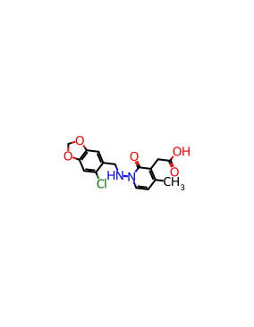 Cc1ccn(NCc2cc3c(cc2Cl)OCO3)c(=O)c1CC(=O)O